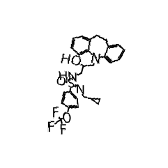 O=S(=NCC1CC1)(NC[C@@H](O)CN1c2ccccc2CCc2ccccc21)c1ccc(OC(F)(F)F)cc1